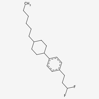 CCCCCCC1CCC(c2ccc(CCC(F)F)cc2)CC1